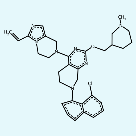 C=Cc1ncc2n1CCN(c1nc(OCC3CCCN(C)C3)nc3c1CCN(c1cccc4cccc(Cl)c14)C3)C2